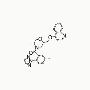 Cc1ccc(-n2nccn2)c(C(=O)N2C[C@H](COc3ccnc4ccccc34)OC[C@H]2C)c1